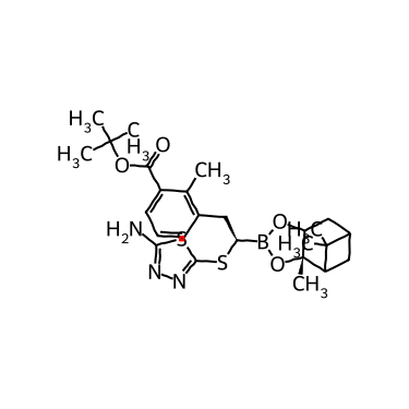 Cc1c(C[C@H](Sc2nnc(N)s2)B2OC3CC4CC(C4(C)C)[C@]3(C)O2)cccc1C(=O)OC(C)(C)C